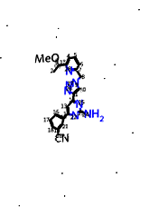 CO[C@@H](C)c1cccc(Cn2cc(-c3cc(-c4cccc(C#N)c4)nc(N)n3)nn2)n1